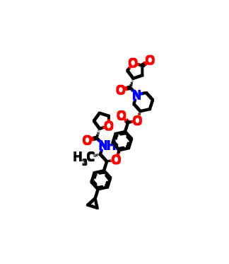 C[C@H](NC(=O)[C@@H]1CCCO1)[C@H](Oc1ccc(C(=O)O[C@H]2CCCN(C(=O)[C@@H]3COC(=O)C3)C2)cc1)c1ccc(C2CC2)cc1